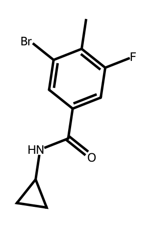 Cc1c(F)cc(C(=O)NC2CC2)cc1Br